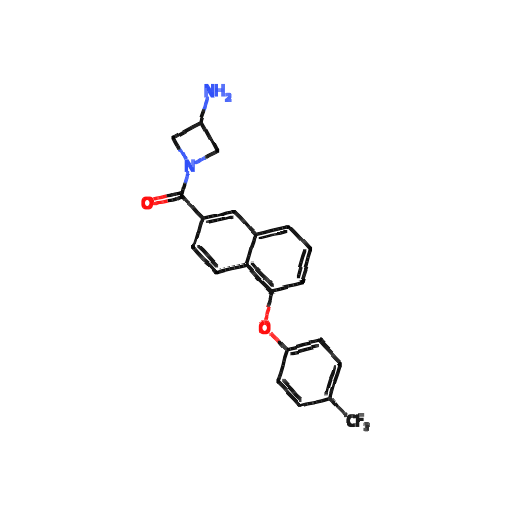 NC1CN(C(=O)c2ccc3c(Oc4ccc(C(F)(F)F)cc4)cccc3c2)C1